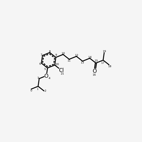 CC(C)COc1cccc(CCCCCC(=O)C(C)C)c1Cl